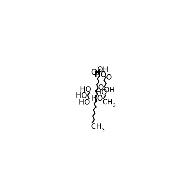 CC(O)CO.CCCCCCCCCCCCCCCCCC(=O)O.O=C(O)CCC(=O)O.OCC(O)CO